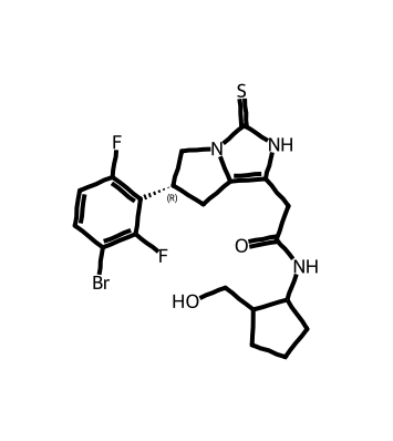 O=C(Cc1[nH]c(=S)n2c1C[C@H](c1c(F)ccc(Br)c1F)C2)NC1CCCC1CO